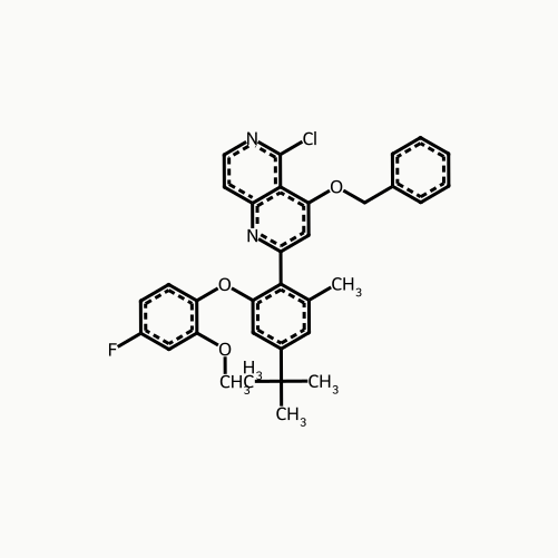 COc1cc(F)ccc1Oc1cc(C(C)(C)C)cc(C)c1-c1cc(OCc2ccccc2)c2c(Cl)nccc2n1